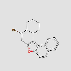 BrC1=Cc2oc3ccc4ccccc4c3c2C2CCCCC12